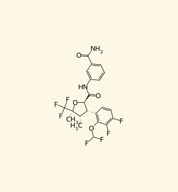 C[C@H]1[C@@H](c2ccc(F)c(F)c2OC(F)F)[C@H](C(=O)Nc2cccc(C(N)=O)c2)O[C@]1(C)C(F)(F)F